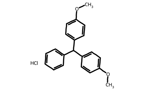 COc1ccc(C(c2ccccc2)c2ccc(OC)cc2)cc1.Cl